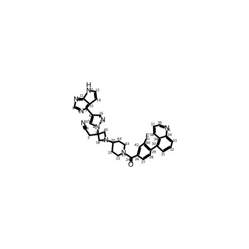 N#CCC1(n2cc(-c3ncnc4[nH]ccc34)cn2)CN(C2CCN(C(=O)c3ccc(-c4cccc5ncccc45)c(F)c3)CC2)C1